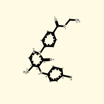 CCOC(=O)c1ccc(-n2ncc(N)c(Oc3ccc(Br)cc3)c2=O)cc1